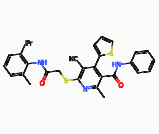 Cc1cccc(C(C)C)c1NC(=O)CSc1nc(C)c(C(=O)Nc2ccccc2)c(-c2cccs2)c1C#N